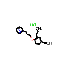 C#Cc1ccc(OCCCN2CC3CCC2CC3)c(CC=C)c1.Cl